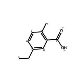 [CH2]Cc1ccc(C)c(C(=O)O)c1